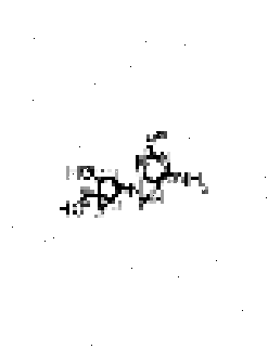 CSc1nc(N)c2ncn(C3=CC(O)C4(CO)CC34)c2n1